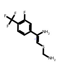 NCS/C=C(\N)c1ccc(C(F)(F)F)c(F)c1